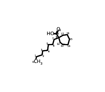 CCCCCCCCC1(C(=O)O)CCCCCC1